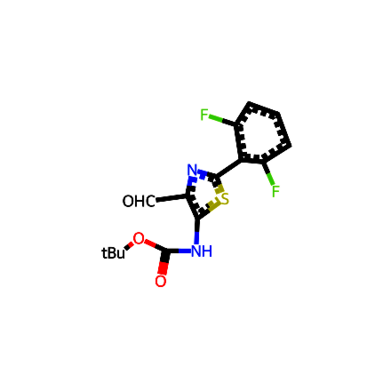 CC(C)(C)OC(=O)Nc1sc(-c2c(F)cccc2F)nc1C=O